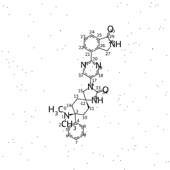 CN(C)[C@]1(c2ccccc2)CC[C@@]2(CC1)CN(c1cnc(-c3cccc4c3CNC4=O)nc1)C(=O)N2